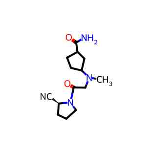 CN(CC(=O)N1CCC[C@H]1C#N)C1CCC(C(N)=O)C1